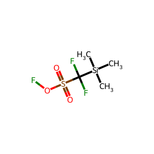 C[Si](C)(C)C(F)(F)S(=O)(=O)OF